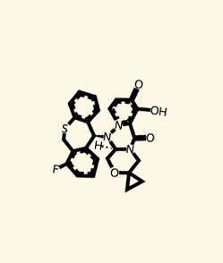 O=C1c2c(O)c(=O)ccn2N([C@@H]2c3ccccc3SCc3c(F)cccc32)[C@@H]2COC3(CC3)CN12